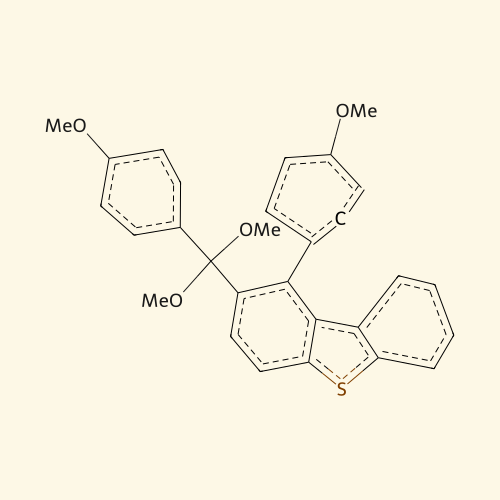 COc1ccc(-c2c(C(OC)(OC)c3ccc(OC)cc3)ccc3sc4ccccc4c23)cc1